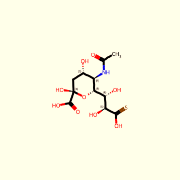 CC(=O)N[C@H]1[C@H]([C@H](O)[C@H](O)C(O)=S)O[C@](O)(C(=O)O)C[C@@H]1O